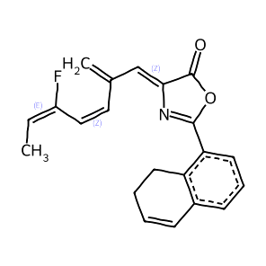 C=C(/C=C\C(F)=C/C)/C=C1\N=C(c2cccc3c2CCC=C3)OC1=O